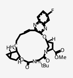 COC(=O)[C@@H]1C[C@@H]2CN1C(=O)[C@H](C(C)(C)C)NC(=O)O[C@@H]1CC3C[C@@H]3[C@H]1CCC/C=C/c1nc3ccc(F)cc3nc1O2